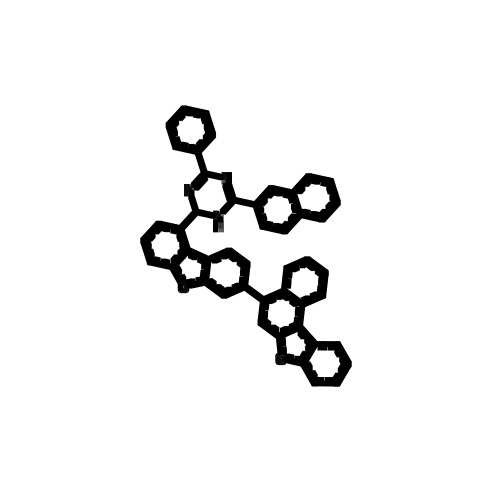 c1ccc(C2=NC(c3cccc4oc5cc(-c6cc7oc8ccccc8c7c7ccccc67)ccc5c34)NC(c3ccc4ccccc4c3)=N2)cc1